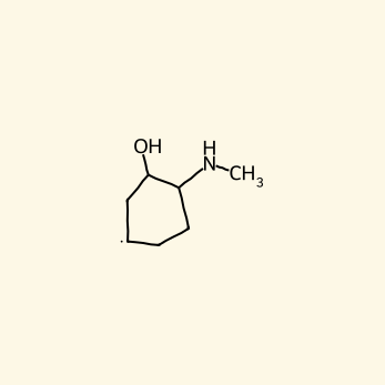 CNC1CC[CH]CC1O